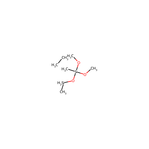 CC.CO[Si](C)(OC)O[SiH2]C